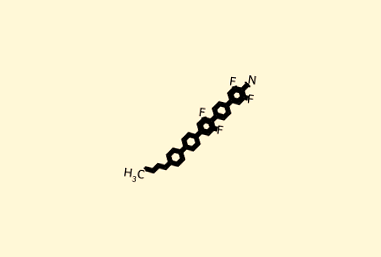 CCCCCC1CCC(C2CCC(c3cc(F)c(C4=CCC(c5cc(F)c(C#N)c(F)c5)CC4)c(F)c3)CC2)CC1